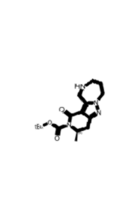 C[C@@H]1Cc2nn3c(c2C(=O)N1C(=O)OC(C)(C)C)CNCCC3